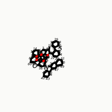 CC1C/C=C(\c2cccc3sc4ccccc4c23)C(C)C(c2cccc3sc4ccccc4c23)/N=C\1c1cc(-n2c3ccccc3c3cc4ccccc4cc32)cc2oc3ccccc3c12